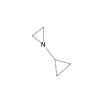 C1CC1N1CC1